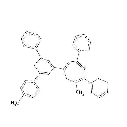 CC1=C(C2=CC=CCC2)N=C(c2ccccc2)C=C(C2=CC(c3ccccc3)CC(c3ccc(C)cc3)=C2)C1